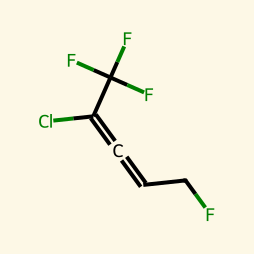 FCC=C=C(Cl)C(F)(F)F